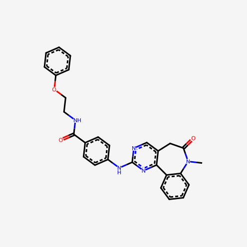 CN1C(=O)Cc2cnc(Nc3ccc(C(=O)NCCOc4ccccc4)cc3)nc2-c2ccccc21